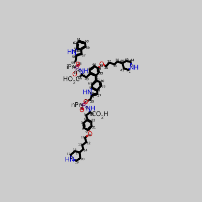 CCCP(=O)(NC(Cc1ccc(OCCCCC2CCNCC2)cc1)C(=O)O)OCc1cc2ccc(-c3cc(OCCCCC4CCNCC4)ccc3CC(NP(=O)(OCc3cc4ccccc4[nH]3)C(C)C)C(=O)O)cc2[nH]1